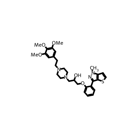 COc1cc(CCN2CCN(CC(O)COc3ccccc3-c3nn(C)c4ccsc34)CC2)cc(OC)c1OC